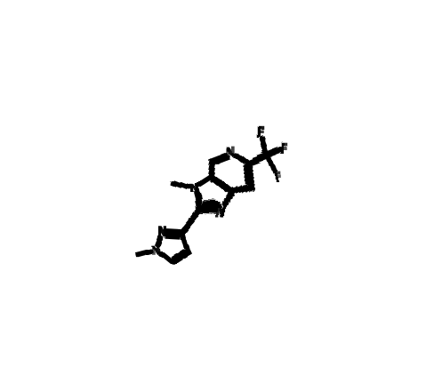 Cn1ccc(-c2nc3cc(C(F)(F)F)ncc3n2C)n1